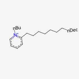 CCCCCCCCCCCCCCCCCc1cccc[n+]1CCCC